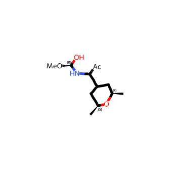 CO[C@@H](O)NC(C(C)=O)C1C[C@@H](C)O[C@@H](C)C1